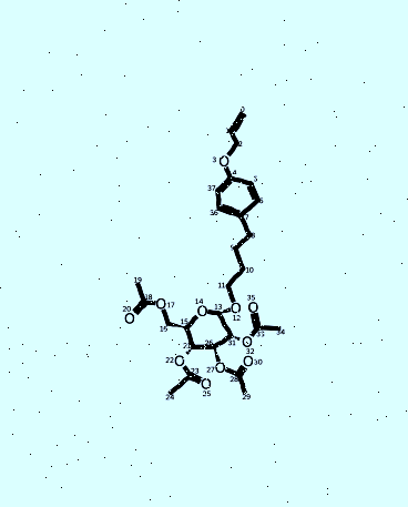 C=CCOc1ccc(CCCCO[C@@H]2O[C@H](COC(C)=O)[C@@H](OC(C)=O)[C@H](OC(C)=O)[C@H]2OC(C)=O)cc1